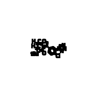 CC(C)(C)OC(=O)N1[C@@H](c2ccc(Cl)c(-n3cnnn3)c2)COC1(C)C